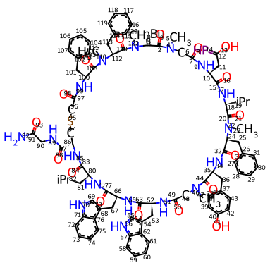 CCCC[C@H]1C(=O)N(C)CC(=O)N[C@@H](CC(O)=P)C(=O)N[C@@H](C(C)C)C(=O)N(C)[C@@H](Cc2ccccc2)C(=O)N[C@@H](Cc2ccc(O)cc2)C(=O)N(C)CC(=O)N[C@@H](Cc2c[nH]c3ccccc23)C(=O)N[C@@H](Cc2c[nH]c3ccccc23)C(=O)N[C@@H](CC(C)C)C(=O)N[C@H](C(=O)NCC(N)=O)CSCC(=O)N[C@@H](Cc2ccccc2)C(=O)N(C)[C@@H](Cc2ccccc2)C(=O)N1C